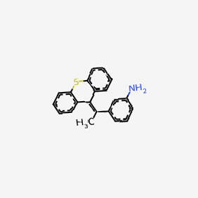 CC(=C1c2ccccc2Sc2ccccc21)c1cccc(N)c1